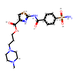 CN1CCN(CCCOC(=O)c2csc(NC(=O)c3ccc(S(N)(=O)=O)cc3)n2)CC1